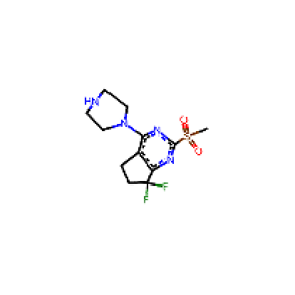 CS(=O)(=O)c1nc(N2CCNCC2)c2c(n1)C(F)(F)CC2